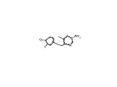 Bc1cnc(Cc2ccc(Cl)c(F)c2)c(C)c1